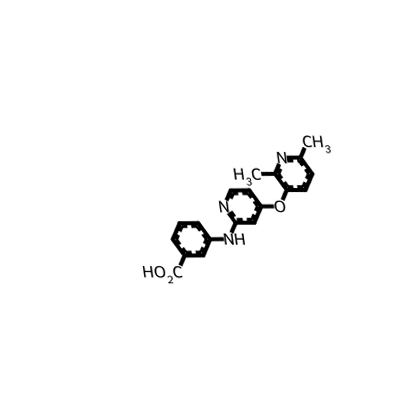 Cc1ccc(Oc2ccnc(Nc3cccc(C(=O)O)c3)c2)c(C)n1